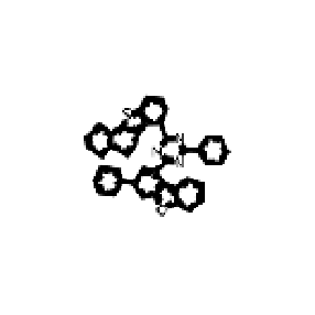 c1ccc(-c2cc(-c3nc(-c4ccccc4)nc(-c4cccc5sc6c7ccccc7ccc6c45)n3)c3c(c2)oc2ccccc23)cc1